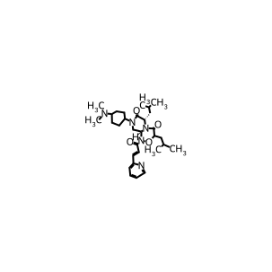 CC(C)CC1ON(C(=O)/C=C/c2ccccn2)[C@H]2CN(C3CCC(N(C)C)CC3)C(=O)[C@H](CC(C)C)N2C1=O